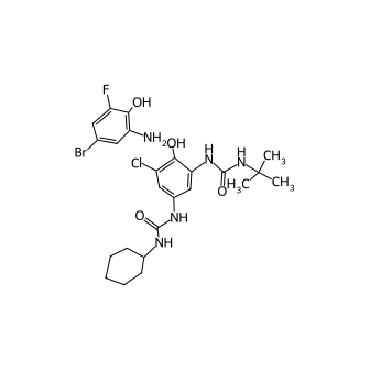 CC(C)(C)NC(=O)Nc1cc(NC(=O)NC2CCCCC2)cc(Cl)c1O.Nc1cc(Br)cc(F)c1O